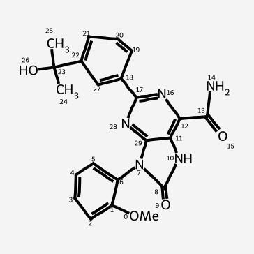 COc1ccccc1-n1c(=O)[nH]c2c(C(N)=O)nc(-c3cccc(C(C)(C)O)c3)nc21